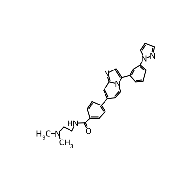 CN(C)CCNC(=O)c1ccc(-c2ccn3c(-c4cccc(-n5cccn5)c4)cnc3c2)cc1